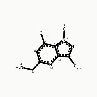 Cc1nn(C)c2c(C)cc(CN)nc12